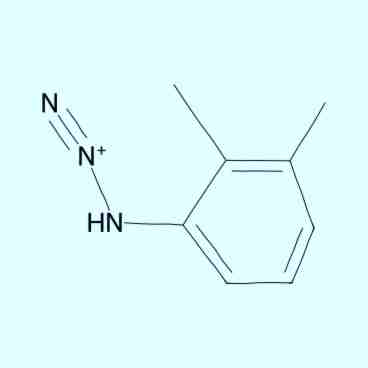 Cc1cccc(N[N+]#N)c1C